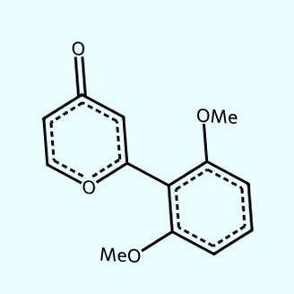 COc1cccc(OC)c1-c1cc(=O)cco1